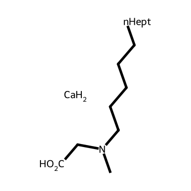 CCCCCCCCCCCCN(C)CC(=O)O.[CaH2]